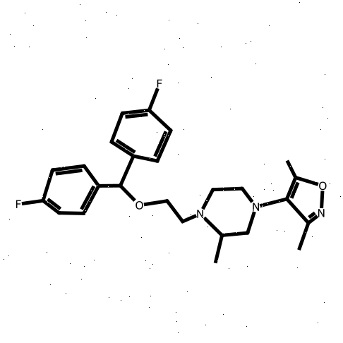 Cc1noc(C)c1N1CCN(CCOC(c2ccc(F)cc2)c2ccc(F)cc2)C(C)C1